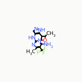 Cc1nc(Nc2cn[nH]c2C2COC2C)nc(N)c1C(F)(F)F